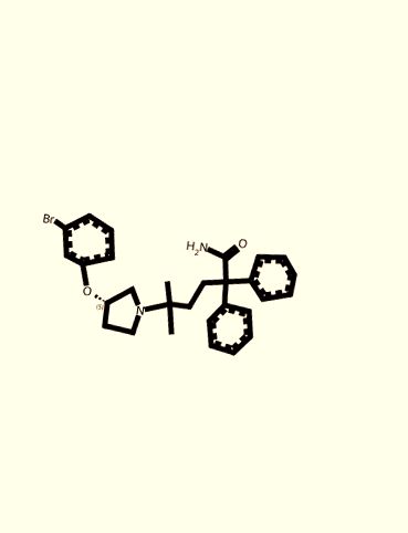 CC(C)(CCC(C(N)=O)(c1ccccc1)c1ccccc1)N1CC[C@H](Oc2cccc(Br)c2)C1